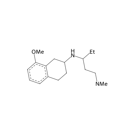 CCC(CCNC)NC1CCc2cccc(OC)c2C1